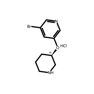 Brc1cncc(O[C@@H]2CCCNC2)c1.Cl